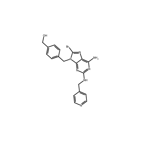 Nc1nc(NCc2ccncc2)nc2c1nc(Br)n2Cc1ccc(CO)cc1